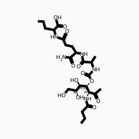 CCCC(=O)N[C@@H](C(C)=O)[C@@H](OC(=O)NC(C)C(=O)NC(CCC(=O)NC(CCC)C(=O)O)C(N)=O)[C@H](O)[C@H](O)CO